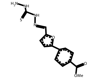 COC(=O)c1ccc(-c2ccc(/C=N/NC(=S)NN)o2)cc1